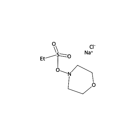 CCS(=O)(=O)ON1CCOCC1.[Cl-].[Na+]